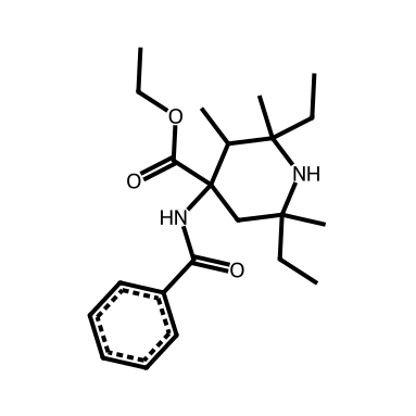 CCOC(=O)C1(NC(=O)c2ccccc2)CC(C)(CC)NC(C)(CC)C1C